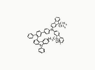 CC1(C)c2ccccc2-c2ccc(N(c3ccc(-c4ccc(-c5ccccc5)c(-c5cccc6c5c5ccccc5n6-c5ccccc5)c4)cc3)c3ccc4c(c3)C(C)(C)c3ccccc3-4)cc21